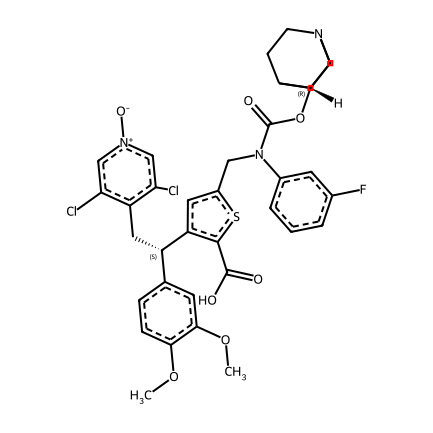 COc1ccc([C@H](Cc2c(Cl)c[n+]([O-])cc2Cl)c2cc(CN(C(=O)O[C@H]3CN4CCC3CC4)c3cccc(F)c3)sc2C(=O)O)cc1OC